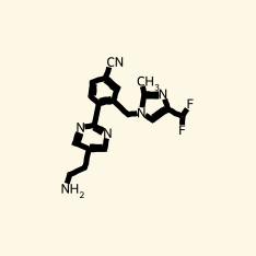 Cc1nc(C(F)F)cn1Cc1cc(C#N)ccc1-c1ncc(CCN)cn1